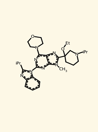 CCOC1(c2nc3c(N4CCOCC4)nc(-n4c(C(C)C)nc5ccccc54)nc3n2C)CCCN(C(C)C)C1